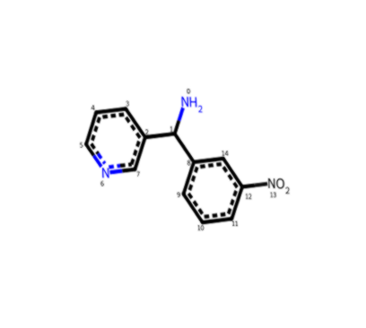 NC(c1cccnc1)c1cccc([N+](=O)[O-])c1